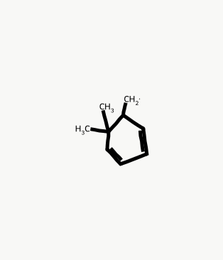 [CH2]C1C=CC=CC1(C)C